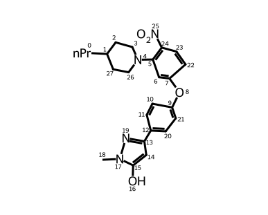 CCCC1CCN(c2cc(Oc3ccc(-c4cc(O)n(C)n4)cc3)ccc2[N+](=O)[O-])CC1